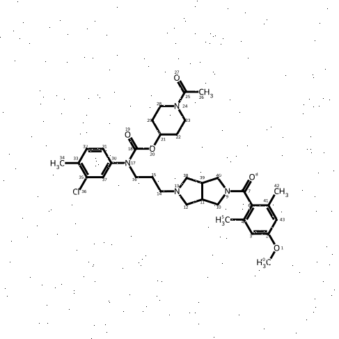 COc1cc(C)c(C(=O)N2CC3CN(CCCN(C(=O)OC4CCN(C(C)=O)CC4)c4ccc(C)c(Cl)c4)CC3C2)c(C)c1